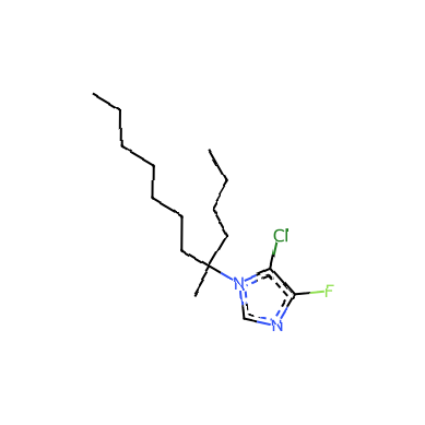 CCCCCCCC(C)(CCCC)n1cnc(F)c1Cl